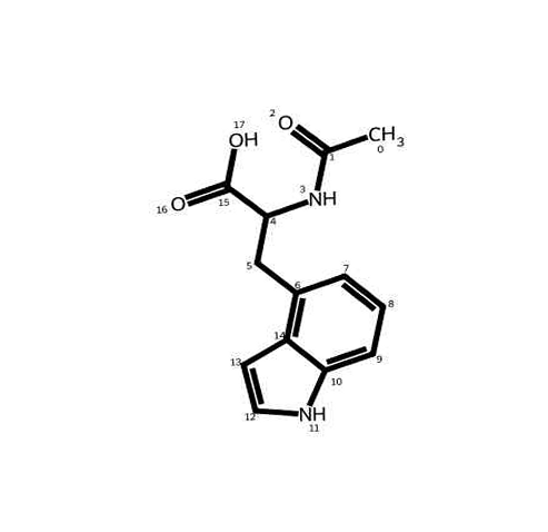 CC(=O)NC(Cc1cccc2[nH]ccc12)C(=O)O